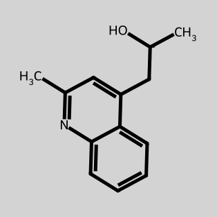 C[C](O)Cc1cc(C)nc2ccccc12